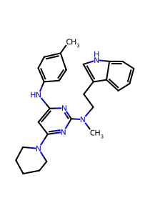 Cc1ccc(Nc2cc(N3CCCCC3)nc(N(C)CCc3c[nH]c4ccccc34)n2)cc1